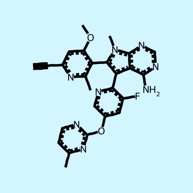 C#Cc1cc(OC)c(-c2c(-c3ncc(Oc4nccc(C)n4)cc3F)c3c(N)ncnc3n2C)c(C)n1